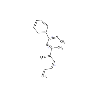 C=C/C=C\C(=C)/C(C)=N/C(=N\C)c1ccccc1